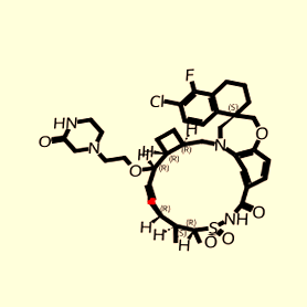 C[C@@H]1[C@@H](C)S(=O)(=O)NC(=O)c2ccc3c(c2)N(C[C@@H]2CC[C@H]2[C@@H](OCCN2CCNC(=O)C2)C2=C[C@H]1C2)C[C@@]1(CCCc2c1ccc(Cl)c2F)CO3